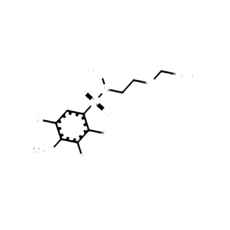 COc1c(F)cc(S(=O)(=O)N(C)CCOCC(=O)O)c(F)c1F